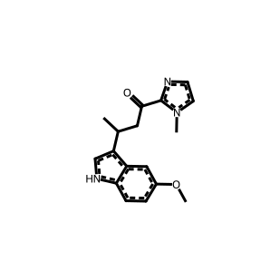 COc1ccc2[nH]cc(C(C)CC(=O)c3nccn3C)c2c1